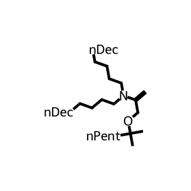 C=C(COC(C)(C)CCCCC)N(CCCCCCCCCCCCCC)CCCCCCCCCCCCCC